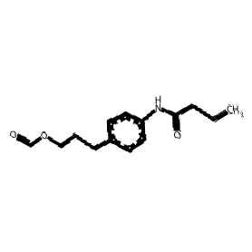 CCCC(=O)Nc1ccc(CCCO[C]=O)cc1